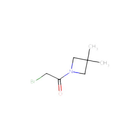 CC1(C)CN(C(=O)CBr)C1